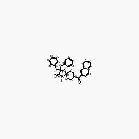 O=C(c1ccc2ccccc2c1)N1CCC2(CC1)NC(=O)C(Cc1ccccc1)(Cc1ccccc1)N2